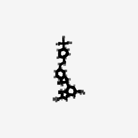 Cc1nc2nc(N)cc(-c3cc4cc(COc5ccc(C(F)(F)F)cc5)ccc4[nH]3)c2[nH]1